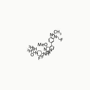 [2H]C([2H])([2H])C(=O)N1CC[C@@H](Nc2nc(OC)c3c(-c4ccc5nc(C)n(CCF)c5c4)ccn3n2)C(F)(F)C1